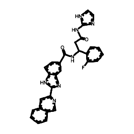 O=C(CC(NC(=O)c1ccc2[nH]c(-c3cc4ccccc4cn3)nc2c1)c1ccccc1F)Nc1ncc[nH]1